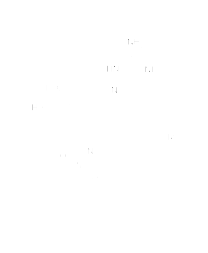 CC1(C)C/C(=N\NC(=N)N)c2c(n(S(=O)(=O)c3ccccc3)c3ccc(Br)cc23)C1